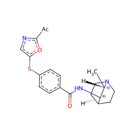 CC(=O)c1ncc(Sc2ccc(C(=O)N[C@@H]3C4CCN(CC4)[C@H]3C)cc2)o1